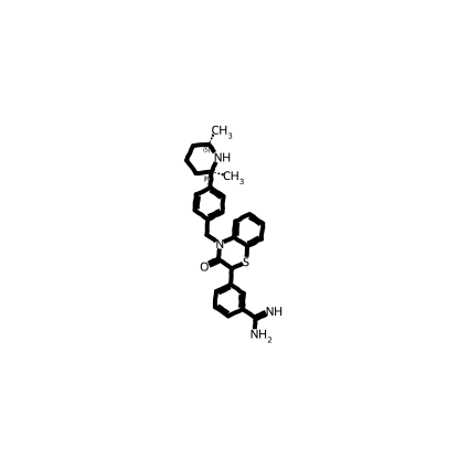 C[C@H]1CCC[C@](C)(c2ccc(CN3C(=O)C(c4cccc(C(=N)N)c4)Sc4ccccc43)cc2)N1